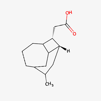 CC1C[C@@H]2C3CC1CCCC3[C@@H]2CC(=O)O